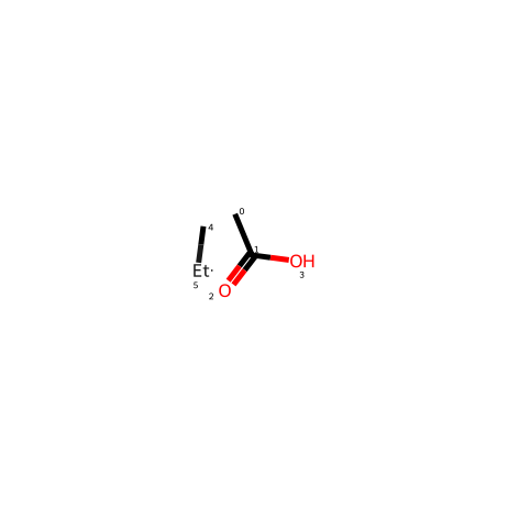 CC(=O)O.C[CH]C